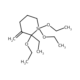 C=C1CCC[Si](OCC)(OCC)C1(CC)OCC